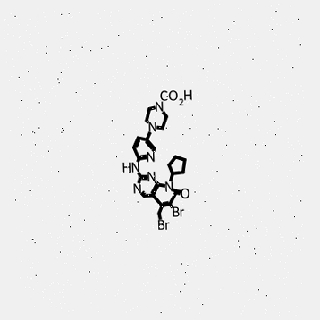 O=C(O)N1CCN(c2ccc(Nc3ncc4c(CBr)c(Br)c(=O)n(C5CCCC5)c4n3)nc2)CC1